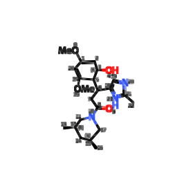 COC1=C[C@@H](O)C(C(CC(=O)N2C[C@H](C)C[C@H](C)C2)c2cnc(C)[nH]2)C(OC)=C1